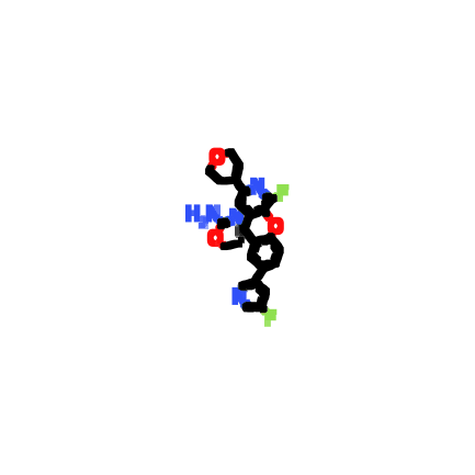 NC1=N[C@]2(CCO1)c1cc(-c3cncc(F)c3)ccc1Oc1c2cc(C2=CCOCC2)nc1F